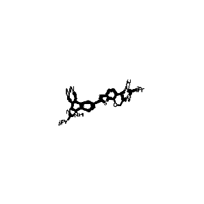 CC(C)c1nc2c([nH]1)-c1ccc3cc(-c4ccc5c(c4)c4cnncc4c4nc(C(C)C)[nH]c54)sc3c1OC2